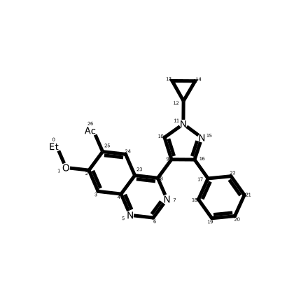 CCOc1cc2ncnc(-c3cn(C4CC4)nc3-c3ccccc3)c2cc1C(C)=O